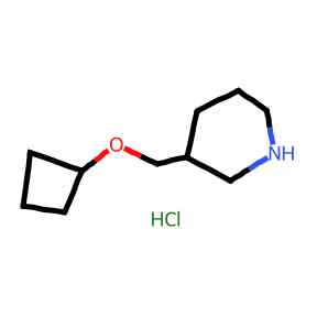 C1CNCC(COC2CCC2)C1.Cl